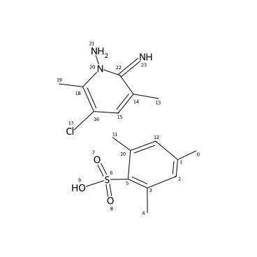 Cc1cc(C)c(S(=O)(=O)O)c(C)c1.Cc1cc(Cl)c(C)n(N)c1=N